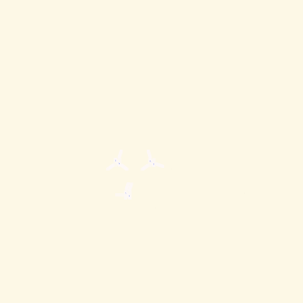 CCOC(=O)c1c(C)nc2n(-c3c(C)cc(C)cc3C)c3ccc(F)cc3n12